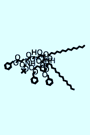 CCCCCCCCCCCCCC(=O)N[C@H]1[C@H](OC(CC(=O)OCc2ccccc2)CC(=O)OCc2ccccc2)O[C@H](COC(=O)[C@@H](CCC(=O)OCc2ccccc2)NC(=O)OC(C)(C)C)[C@@H](O)[C@@H]1OC(=O)CCCCCCCCCCCCC